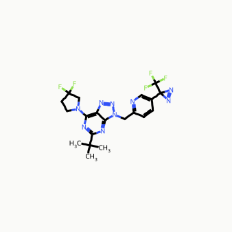 CC(C)(C)c1nc(N2CCC(F)(F)C2)c2nnn(Cc3ccc(C4(C(F)(F)F)N=N4)cn3)c2n1